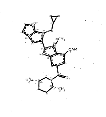 COc1cc(C(=O)N2C[C@@H](N)CC[C@H]2C)cc2nc(-c3cc4ccsc4n3CC3CC3)n(C)c12